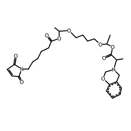 CC(OCCCCOC(C)OC(=O)C(C)N1COc2ccccc2C1)OC(=O)CCCCCN1C(=O)C=CC1=O